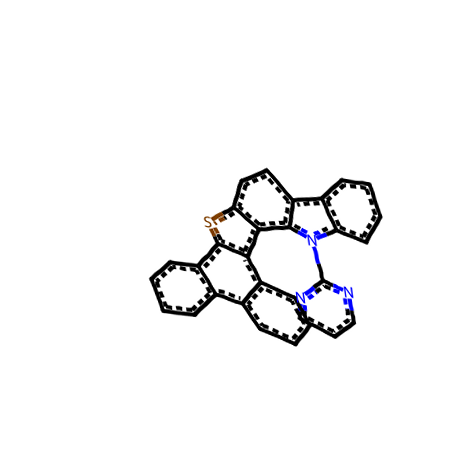 c1cnc(-n2c3ccccc3c3ccc4sc5c6ccccc6c6ccccc6c5c4c32)nc1